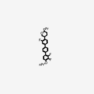 CCCOc1ccc(-c2ccc(-c3ccc(C4CCC(CCC)OC4)c(F)c3)cc2)c(F)c1F